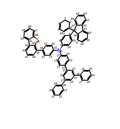 C1=CCCC(C2(c3ccc(N(c4ccc(-c5cc(-c6ccccc6)cc(-c6ccccc6)c5)cc4)c4ccc(-c5cccc6c5sc5ccccc56)cc4)cc3)c3ccccc3-c3ccccc32)=C1